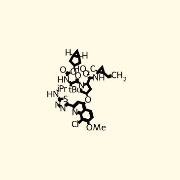 C=CC1C[C@]1(NC(=O)C1C[C@@H](Oc2cc(-c3nnc(NC(C)C)s3)nc3c(Cl)c(OC)ccc23)CN1C(=O)C(NC(=O)O[C@@H]1C[C@@H]2C[C@@H]2C1)C(C)(C)C)C(=O)O